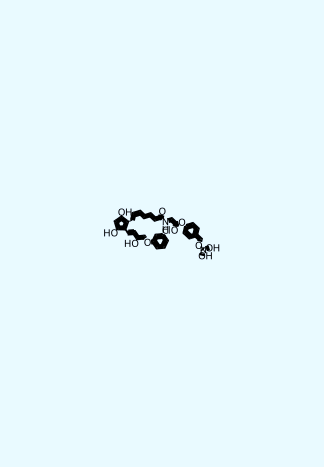 O=C(CCC/C=C\C[C@@H]1[C@@H](/C=C/[C@@H](O)COc2cccc(Cl)c2)[C@H](O)C[C@@H]1O)NCC(=O)Oc1ccc(CON(O)O)cc1